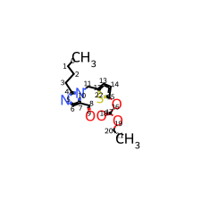 CCCCc1ncc(C=O)n1Cc1ccc(OC(=O)OCC)s1